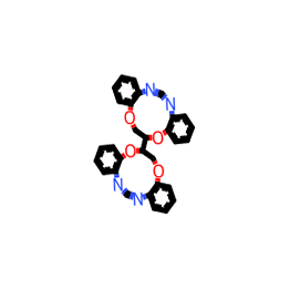 C1=Nc2ccccc2OCC(C2COc3ccccc3N=C=Nc3ccccc3O2)Oc2ccccc2N=1